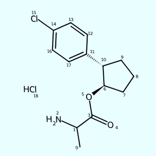 CC(N)C(=O)O[C@@H]1CCC[C@H]1c1ccc(Cl)cc1.Cl